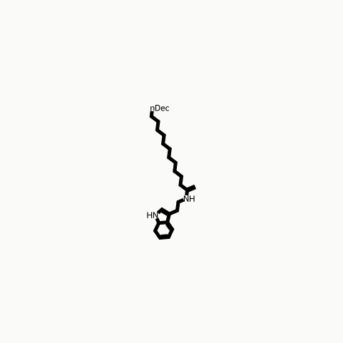 C=C(CCCCCCCCCCCCCCCCCCCCC)NCCC1=CNC2CC=CC=C12